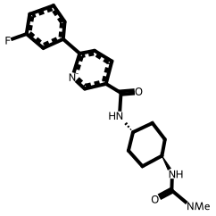 CNC(=O)N[C@H]1CC[C@H](NC(=O)c2ccc(-c3cccc(F)c3)nc2)CC1